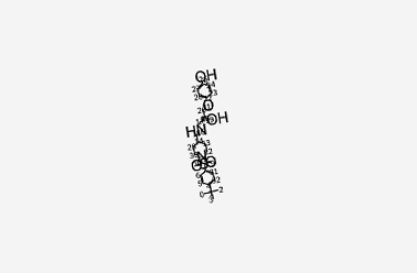 CC(C)(C)c1ccc(S(=O)(=O)N2CCC(CNC[C@@H](O)COc3ccc(O)cc3)CC2)cc1